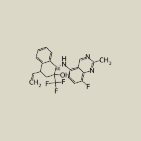 C=CC1CC(O)(C(F)(F)F)[C@@H](Nc2ccc(F)c3nc(C)ncc23)c2ccccc21